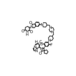 COc1cc(N2CCC(CN3CCN(CC4CCN(c5ccc6c(c5)CN([C@H]5CCC(=O)NC5=O)C6=O)CC4)CC3)CC2)c(F)cc1[C@@H]1N(c2cccn3ccnc23)C(=O)C12CCCC2